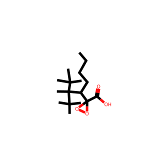 CCCCC(C1(C(=O)O)OO1)C(C)(C(C)(C)C)C(C)(C)C